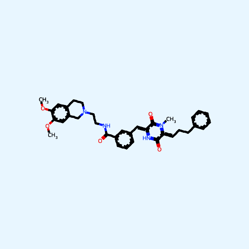 COc1cc2c(cc1OC)CN(CCNC(=O)c1cccc(C=c3[nH]c(=O)c(=CCCc4ccccc4)n(C)c3=O)c1)CC2